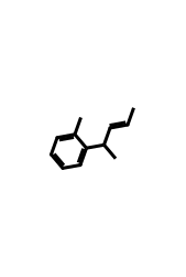 CC=CC(C)c1ccccc1C